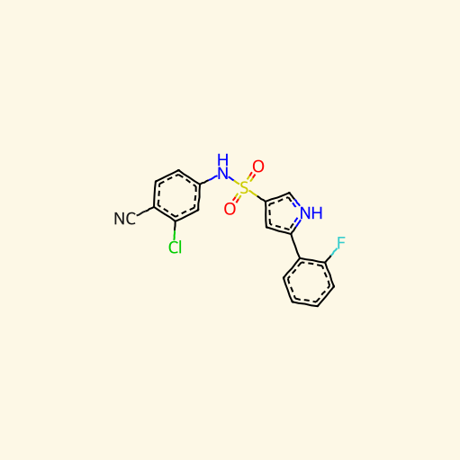 N#Cc1ccc(NS(=O)(=O)c2c[nH]c(-c3ccccc3F)c2)cc1Cl